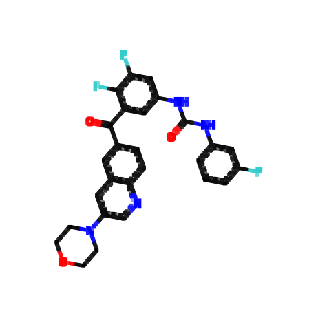 O=C(Nc1cccc(F)c1)Nc1cc(F)c(F)c(C(=O)c2ccc3ncc(N4CCOCC4)cc3c2)c1